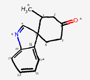 CC1CC(=O)CCC12C=Nc1ccccc12